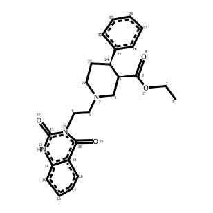 CCOC(=O)[C@H]1CN(CCn2c(=O)[nH]c3ccccc3c2=O)CC[C@H]1c1ccccc1